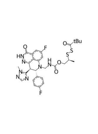 C[C@@H](COC(=O)NCN1c2cc(F)cc3c(=O)[nH]nc(c23)[C@H](c2ncnn2C)[C@H]1c1ccc(F)cc1)SSC(=O)C(C)(C)C